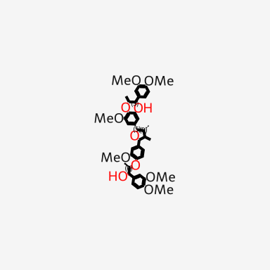 COc1ccc(C(O)[C@@H](C)Oc2ccc(C3O[C@H](c4ccc(OC(C)[C@@H](O)c5ccc(OC)c(OC)c5)c(OC)c4)[C@H](C)C3C)cc2OC)cc1OC